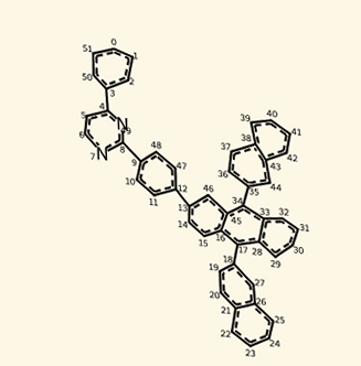 c1ccc(-c2ccnc(-c3ccc(-c4ccc5c(-c6ccc7ccccc7c6)c6ccccc6c(-c6ccc7ccccc7c6)c5c4)cc3)n2)cc1